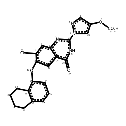 O=C(O)Oc1cnn(-c2nc3cc(Cl)c(Oc4cccc5c4CCCC5)cc3c(=O)[nH]2)c1